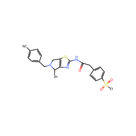 CCS(=O)(=O)c1ccc(CC(=O)Nc2nc3c(s2)CN(Cc2ccc(C#N)cc2)C3C(C)C)cc1